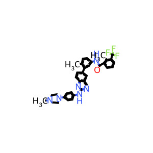 Cc1ccc(NC(=O)c2cccc(C(F)(F)F)c2C)cc1-c1ccc2nc(Nc3ccc(N4CCN(C)CC4)cc3)ncc2c1